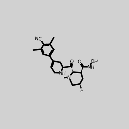 Cc1cc(C2=CCNC(C(=O)[C@@H]3[C@@H](C(=O)NO)C[C@@H](F)CN3C)C2)cc(C)c1C#N